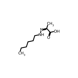 CCCCCCNN=C(C)C(=O)O